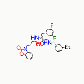 CCc1cccc(CNC[C@@H](O)[C@H](Cc2cc(F)cc(F)c2)NC(=O)CCCn2c(=O)oc3ccccc32)c1